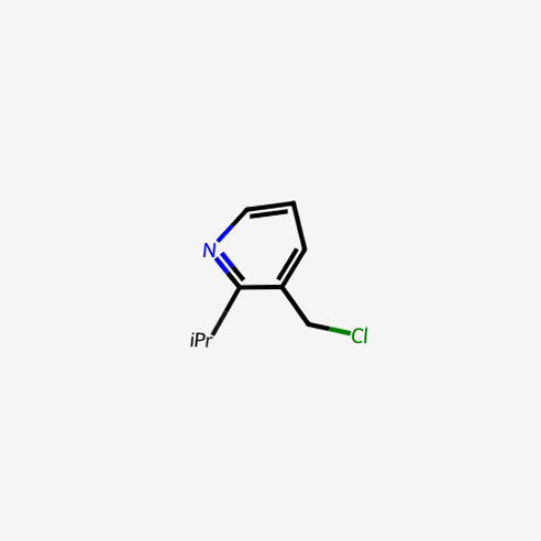 CC(C)c1ncccc1CCl